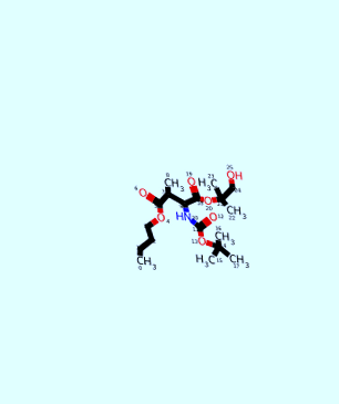 CCCCOC(=O)C(C)C(NC(=O)OC(C)(C)C)C(=O)OC(C)(C)CO